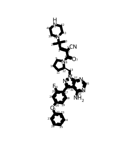 CC(C)(C=C(C#N)C(=O)N1CCC[C@@H]1Cn1nc(-c2ccc(Oc3ccccc3)cc2F)c2c(N)ncnc21)N1CCNCC1